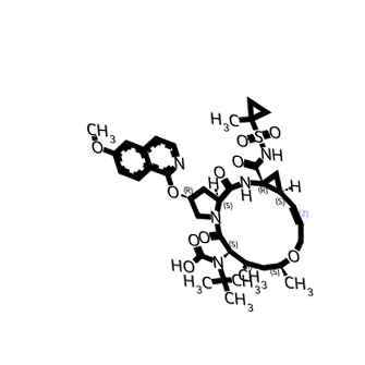 COc1ccc2c(O[C@@H]3C[C@H]4C(=O)N[C@]5(C(=O)NS(=O)(=O)C6(C)CC6)C[C@H]5/C=C\CO[C@@H](C)C[C@@H](C)[C@H](N(C(=O)O)C(C)(C)C)C(=O)N4C3)nccc2c1